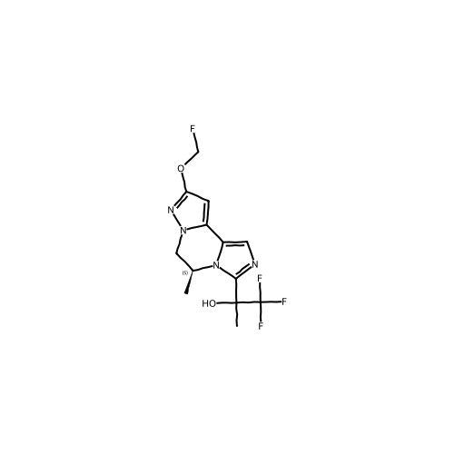 C[C@H]1Cn2nc(OCF)cc2-c2cnc(C(C)(O)C(F)(F)F)n21